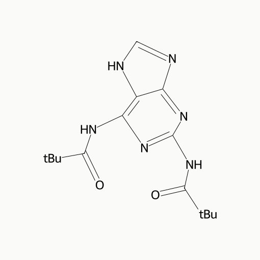 CC(C)(C)C(=O)Nc1nc(NC(=O)C(C)(C)C)c2[nH]cnc2n1